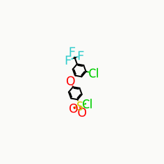 O=S(=O)(Cl)c1ccc(Oc2cc(Cl)cc(C(F)(F)F)c2)cc1